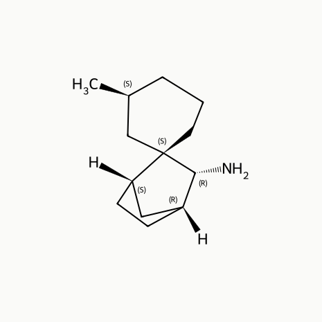 C[C@H]1CCC[C@]2(C1)[C@H]1CC[C@H](C1)[C@H]2N